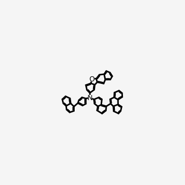 c1ccc2cc3c(cc2c1)oc1ccc(N(c2ccc(-c4cccc5ccccc45)cc2)c2ccc4c(-c5cc6ccccc6c6ccccc56)cccc4c2)cc13